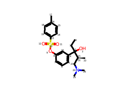 CCC(O)(c1cccc(OS(=O)(=O)c2ccc(C)cc2)c1)[C@@H](C)CN(C)C